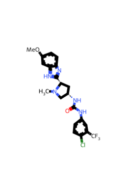 COc1ccc2nc([C@@H]3C[C@H](NC(=O)Nc4ccc(Cl)c(C(F)(F)F)c4)CN3C)[nH]c2c1